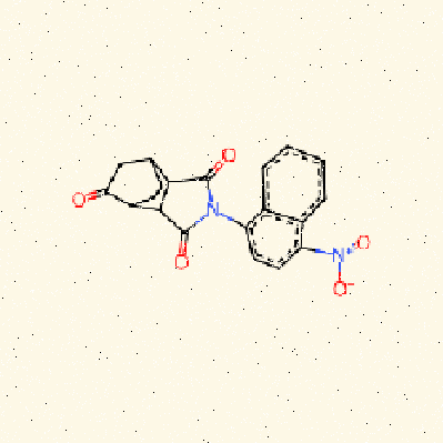 O=C1CC2CCC1C1C(=O)N(c3ccc([N+](=O)[O-])c4ccccc34)C(=O)C21